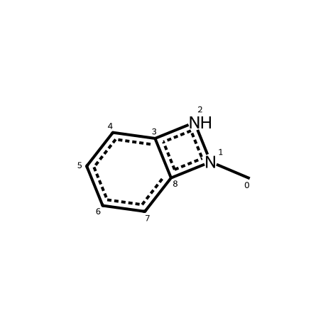 Cn1[nH]c2ccccc21